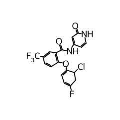 O=C(Nc1cc[nH]c(=O)c1)c1cc(C(F)(F)F)ccc1OC1=CC=C(F)CC1Cl